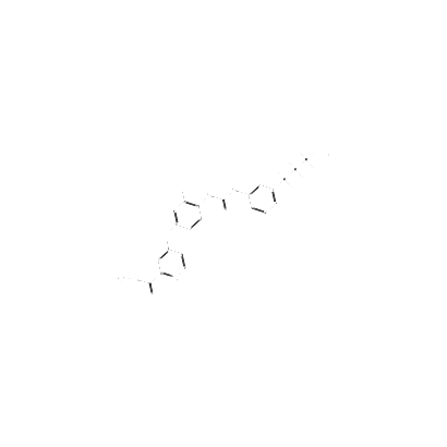 CNC(=O)c1cc(Oc2ccc(NC(=O)Nc3cccc(C(F)(F)C(F)(F)C(F)(F)C(F)(F)F)c3)c(F)c2)ccn1